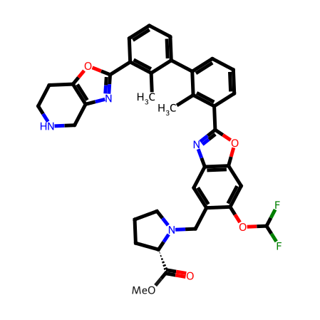 COC(=O)[C@@H]1CCCN1Cc1cc2nc(-c3cccc(-c4cccc(-c5nc6c(o5)CCNC6)c4C)c3C)oc2cc1OC(F)F